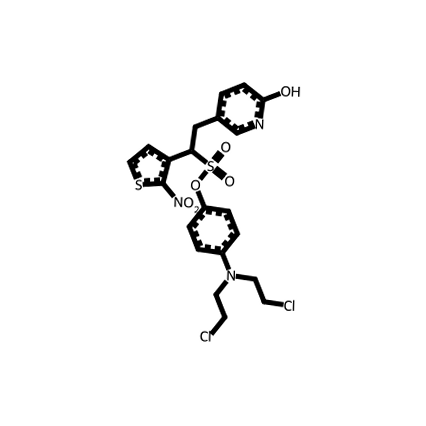 O=[N+]([O-])c1sccc1C(Cc1ccc(O)nc1)S(=O)(=O)Oc1ccc(N(CCCl)CCCl)cc1